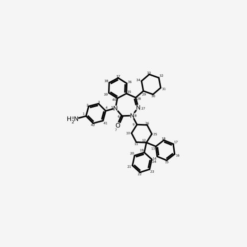 Nc1ccc(N2C(=O)N(C3CCC(c4ccccc4)(c4ccccc4)CC3)N=C(C3CCCCC3)c3ccccc32)cc1